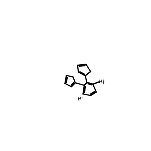 [H-].[Hf][c]1cccc(C2=CC=CC2)c1C1=CC=CC1